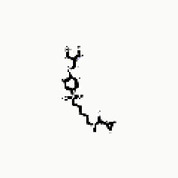 CN(CCCCCS(=O)(=O)c1ccc(OC/C(=C/F)CN)cc1)C(=O)C1CC1